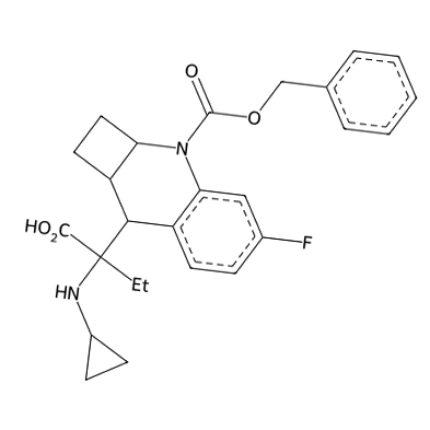 CCC(NC1CC1)(C(=O)O)C1c2ccc(F)cc2N(C(=O)OCc2ccccc2)C2CCC21